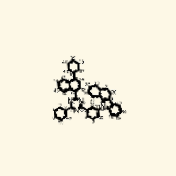 c1ccc(-c2nc(-c3cccc(-n4c5ccccc5c5ccc6ccccc6c54)c3)nc(-c3ccc(-c4ccccc4)c4ccccc34)n2)cc1